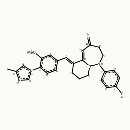 COc1cc(/C=C2\CCCN3C2=NC(=O)CCN3c2ccc(F)cc2)ccc1-n1cnc(C)c1